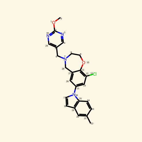 COc1ncc(CN2CCOc3c(Cl)cc(-n4ccc5cc(C)ccc54)cc3C2)cn1